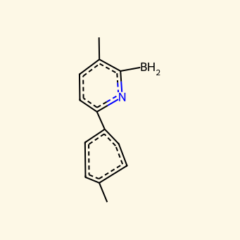 Bc1nc(-c2ccc(C)cc2)ccc1C